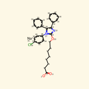 O=C([O-])CCCCCCCOc1nc(-c2ccccc2)c(-c2ccccc2)n1-c1ccc(Cl)cc1.[Na+]